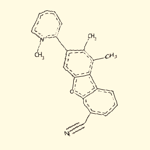 Cc1c(-c2cccc[n+]2C)cc2oc3c(C#N)cccc3c2c1C